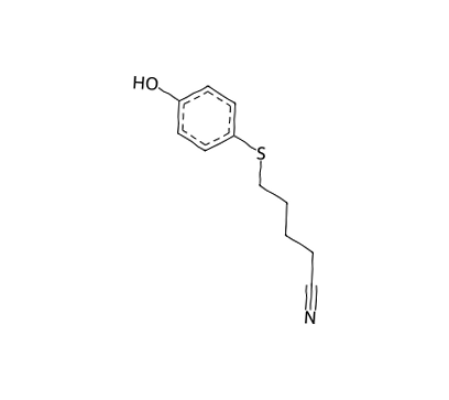 N#CCCCCSc1ccc(O)cc1